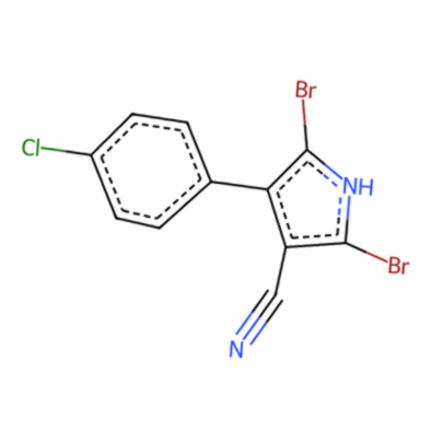 N#Cc1c(Br)[nH]c(Br)c1-c1ccc(Cl)cc1